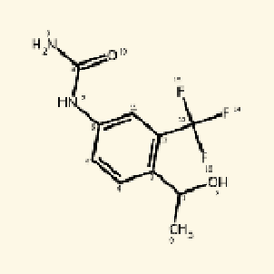 CC(O)c1ccc(NC(N)=O)cc1C(F)(F)F